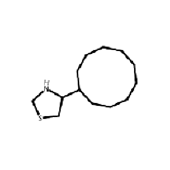 C1CCCCC(C2CSCN2)CCCC1